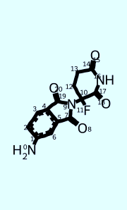 Nc1ccc2c(c1)C(=O)N(C1(F)CCC(=O)NC1=O)C2=O